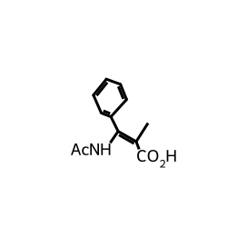 CC(=O)NC(=C(C)C(=O)O)c1ccccc1